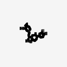 CC1CN([C@H](CO)CCN2CCC3(CC3)C(O)C2)C(=O)CCN1c1ccc(Cl)c(Cl)c1